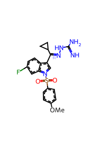 COc1ccc(S(=O)(=O)n2cc(/C(=N/NC(=N)N)C3CC3)c3ccc(F)cc32)cc1